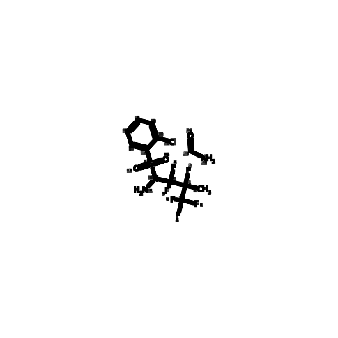 CC(F)(C(F)(F)F)C(F)(F)N(N)S(=O)(=O)c1ccccc1Cl.NC=O